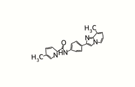 Cc1ccc(C(=O)Nc2ccc(-c3cn4cccc(C)c4n3)cc2)nc1